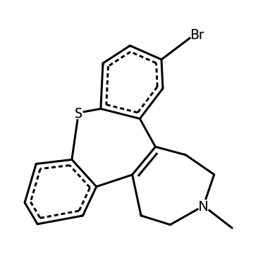 CN1CCC2=C(CC1)c1cc(Br)ccc1Sc1ccccc12